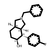 O[C@H]1CC[C@H]2CN(Cc3ccccc3)C[C@H]2[C@@H]1c1ccc(F)cc1